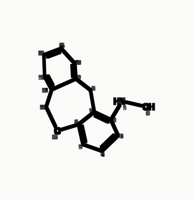 ONc1cccc2c1Cc1ccccc1CO2